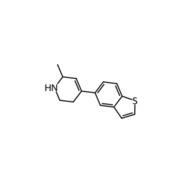 CC1C=C(c2ccc3sccc3c2)CCN1